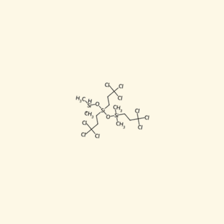 C[SiH](C)O[Si](CCC(Cl)(Cl)Cl)(CCC(Cl)(Cl)Cl)O[Si](C)(C)CCC(Cl)(Cl)Cl